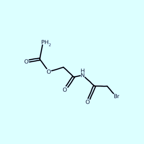 O=C(CBr)NC(=O)COC(=O)P